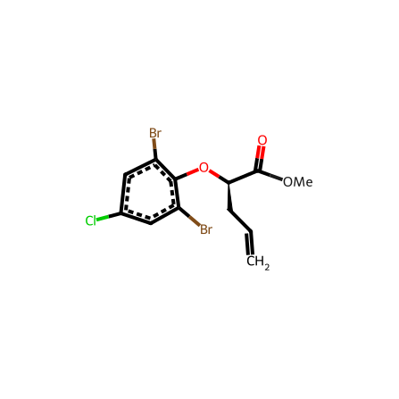 C=CC[C@@H](Oc1c(Br)cc(Cl)cc1Br)C(=O)OC